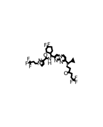 O=C(CC[C@@H](c1ccn2cc([C@@H](NC(=O)c3ccn(CCC(F)(F)F)n3)C3CCC(F)(F)CC3)nc2n1)C1CC1)CCC(F)(F)F